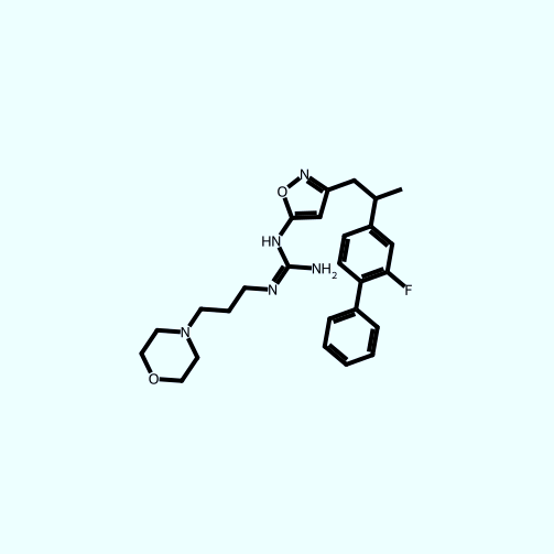 CC(Cc1cc(NC(N)=NCCCN2CCOCC2)on1)c1ccc(-c2ccccc2)c(F)c1